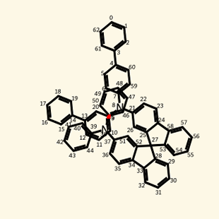 c1ccc(-c2ccc(N(c3cccc(-c4ccccc4)c3)c3ccc4c(c3)C3(c5ccccc5-c5ccc(N(c6ccccc6)c6ccccc6)cc53)c3ccccc3-4)cc2)cc1